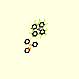 Fc1c(F)c(F)[c]([Al-]([c]2c(F)c(F)c(F)c(F)c2F)([c]2c(F)c(F)c(F)c(F)c2F)[c]2c(F)c(F)c(F)c(F)c2F)c(F)c1F.c1ccc([PH+](c2ccccc2)c2ccccc2)cc1